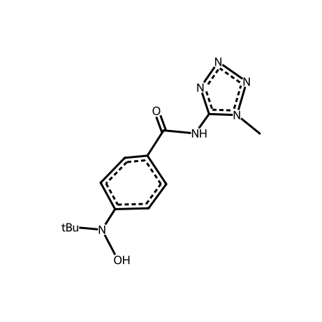 Cn1nnnc1NC(=O)c1ccc(N(O)C(C)(C)C)cc1